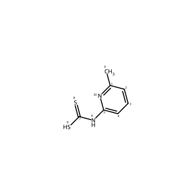 Cc1cccc(NC(=S)S)n1